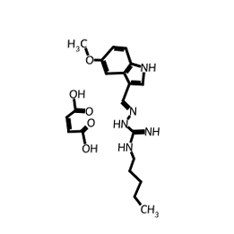 CCCCCNC(=N)NN=Cc1c[nH]c2ccc(OC)cc12.O=C(O)/C=C\C(=O)O